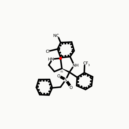 N#Cc1ccc(NC(c2ccccc2C(F)(F)F)([C@H]2CCNC2)S(=O)(=O)Cc2ccccc2)cc1Cl